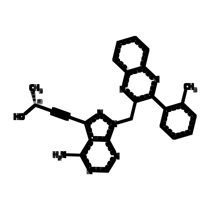 Cc1ccccc1-c1nc2ccccc2nc1Cn1nc(C#C[C@@H](C)O)c2c(N)ncnc21